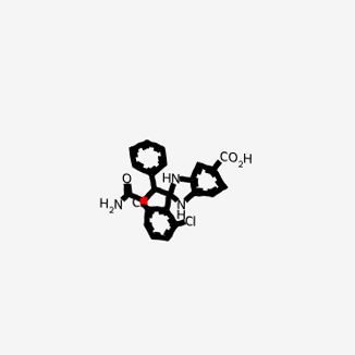 NC(=O)CC(c1ccccc1)C1(c2c(Cl)cccc2Cl)Nc2ccc(C(=O)O)cc2N1